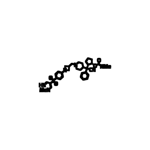 CN/C=C(\C=N)S(=O)(=O)c1ccc(N2CC(CN3CCC(C(C#N)(c4ccccc4)[C@H]4CCC[C@@H]4OC(=O)NC)CC3)C2)cc1